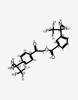 O=C(COC(=O)c1cccc(C2(C(F)(F)F)N=N2)c1)c1ccc(C2(C(F)(F)F)N=N2)cc1